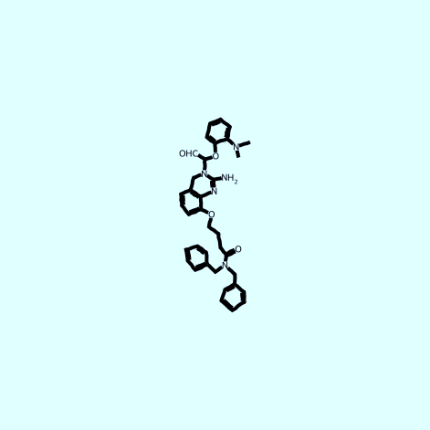 CN(C)c1ccccc1OC(C=O)N1Cc2cccc(OCCCC(=O)N(Cc3ccccc3)Cc3ccccc3)c2N=C1N